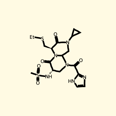 CCSC[C@H]1C(=O)N(C2CC2)CC2N(C(=O)c3ncc[nH]3)C[C@H](NS(C)(=O)=O)C(=O)N21